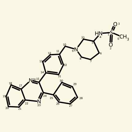 CS(=O)(=O)NC1CCCN(Cc2ccc(-c3nc4ccccc4nc3-c3ccccc3)cc2)C1